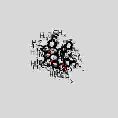 CCc1cc(C(C)(C)C)cc(-c2c(-c3cc(C(C)(C)C)cc(CC)c3C(C)(C)C)c(-c3cc(C(C)(C)C)cc(CC)c3C(C)(C)C)c3c(c2-c2cc(C(C)(C)C)cc(CC)c2C(C)(C)C)=c2ccccc2=3)c1C(C)(C)C